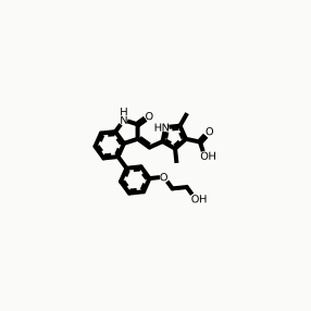 Cc1[nH]c(/C=C2\C(=O)Nc3cccc(-c4cccc(OCCO)c4)c32)c(C)c1C(=O)O